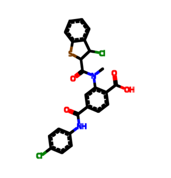 CN(C(=O)C1Sc2ccccc2C1Cl)c1cc(C(=O)Nc2ccc(Cl)cc2)ccc1C(=O)O